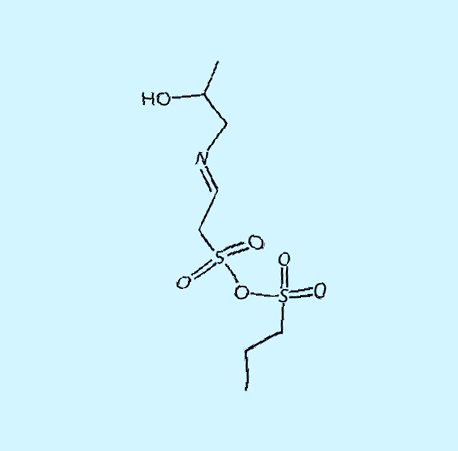 CCCS(=O)(=O)OS(=O)(=O)CC=NCC(C)O